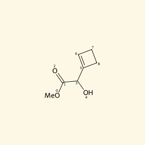 COC(=O)C(O)C1=CCC1